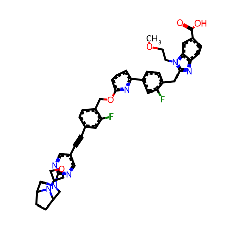 COCCn1c(Cc2ccc(-c3cccc(OCc4ccc(C#Cc5cnc(N6CC7CCC(C6)N7C6COC6)nc5)cc4F)n3)cc2F)nc2ccc(C(=O)O)cc21